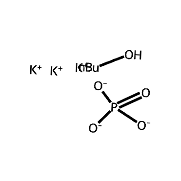 CCCCO.O=P([O-])([O-])[O-].[K+].[K+].[K+]